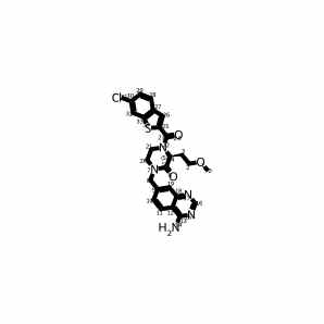 COCC[C@H]1C(=O)N(Cc2ccc3c(N)ncnc3c2)CCN1C(=O)c1cc2ccc(Cl)cc2s1